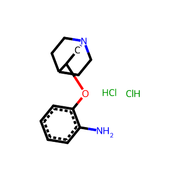 Cl.Cl.Nc1ccccc1OC1CN2CCC1CC2